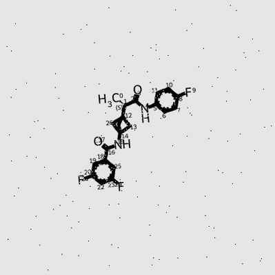 C[C@H](C(=O)Nc1ccc(F)cc1)C12CC(NC(=O)c3cc(F)cc(F)c3)(C1)C2